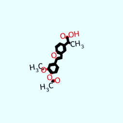 COc1cc(-c2cc3cc(C(C)C(=O)O)ccc3o2)ccc1OC(C)=O